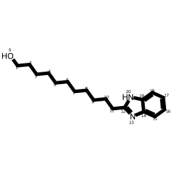 OCCCCCCCCCCCc1nc2ccccc2[nH]1